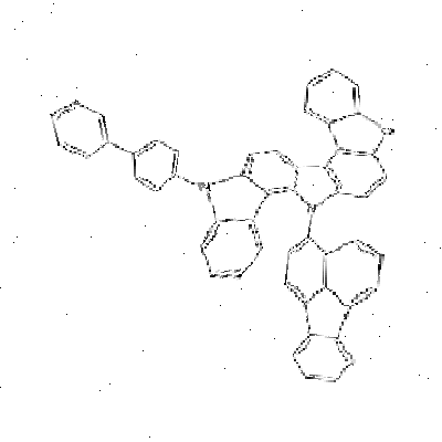 c1ccc(-c2ccc(-n3c4ccccc4c4c3ccc3c5c6c(ccc5n(-c5ccc7c8c(cccc58)-c5ccccc5-7)c34)oc3ccccc36)cc2)cc1